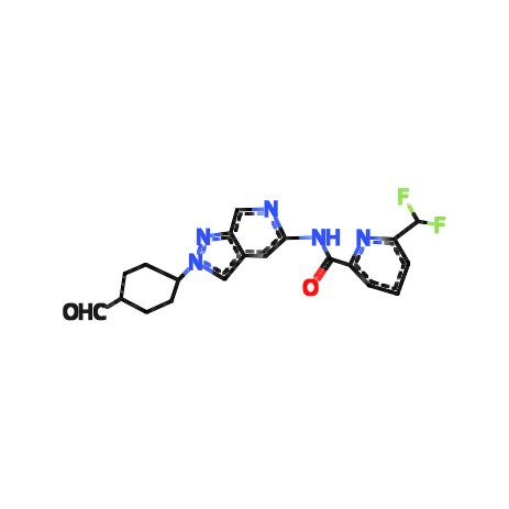 O=CC1CCC(n2cc3cc(NC(=O)c4cccc(C(F)F)n4)ncc3n2)CC1